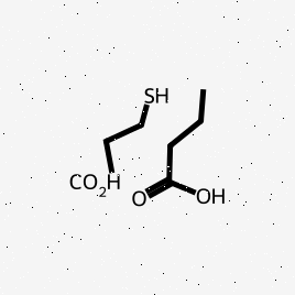 CCCC(=O)O.O=C(O)CCS